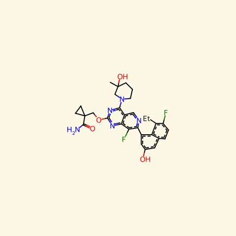 CCc1c(F)ccc2cc(O)cc(-c3ncc4c(N5CCCC(C)(O)C5)nc(OCC5(C(N)=O)CC5)nc4c3F)c12